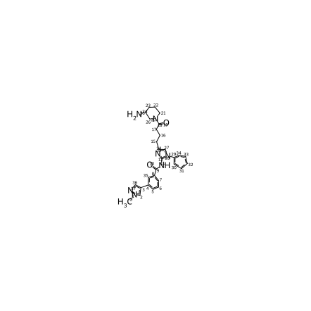 Cn1cc(-c2cccc(C(=O)Nc3nc(CCCC(=O)N4CCC[C@H](N)C4)cn3-c3ccccc3)c2)cn1